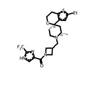 CCc1cc2c(s1)CCO[C@@]21CCN(CC2CN(C(=O)c3c[nH]c(C(F)(F)F)n3)C2)[C@@H](C)C1